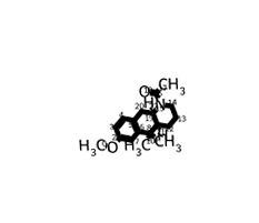 COc1ccc2c(c1)C(C)(C)[C@H]1CCCN(C(C)=O)[C@@H]1C2